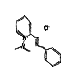 CN(C)[n+]1ccccc1/C=C/c1ccccc1.[Cl-]